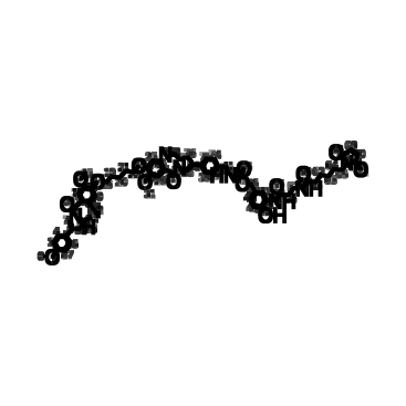 COc1ccc(C2=CN3C(=O)c4cc(OC)c(OCCCCCOc5cc6c(cc5OC)C(=O)N5C=C(c7ccc(CNC(=O)OCc8ccc(O)c(NC(=O)CCNC(=O)CCCCCN9C(=O)C=CC9=O)c8)cc7)CC5C=N6)cc4N=C[C@@H]3C2)cc1